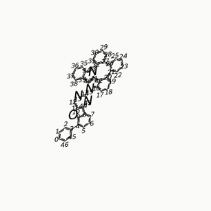 c1ccc(-c2cccc3c2oc2cnc(-n4c5cccc6c7ccccc7c7ccccc7n7c8ccccc8c4c7c65)nc23)cc1